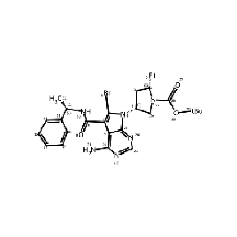 CC[C@H]1C[C@@H](n2c(Br)c(C(=O)N[C@H](C)c3ccccc3)c3c(N)ncnc32)CN1C(=O)OC(C)(C)C